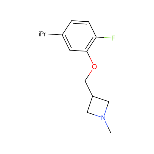 CC(C)c1ccc(F)c(OCC2CN(C)C2)c1